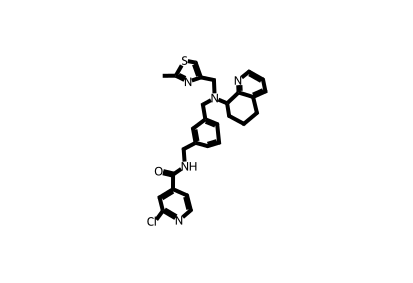 Cc1nc(CN(Cc2cccc(CNC(=O)c3ccnc(Cl)c3)c2)C2CCCc3cccnc32)cs1